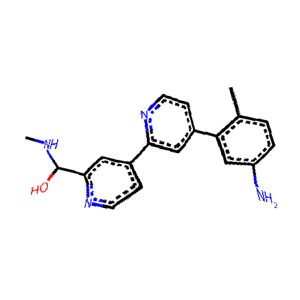 CNC(O)c1cc(-c2cc(-c3cc(N)ccc3C)ccn2)ccn1